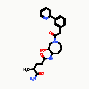 CC(C[CH]C(=O)NC1CCCN(C(=O)Cc2cccc(-c3ccccn3)c2)C[C@@H]1O)C(N)=O